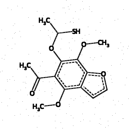 COc1c(C(C)=O)c(OC(C)S)c(OC)c2occc12